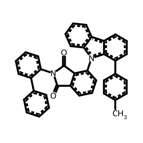 Cc1ccc(-c2cccc3c4ccccc4n(-c4cccc5c4C(=O)N(c4ccccc4-c4ccccc4)C5=O)c23)cc1